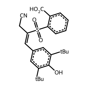 CC(C)(C)c1cc(C=C(CC#N)S(=O)(=O)c2ccccc2C(=O)O)cc(C(C)(C)C)c1O